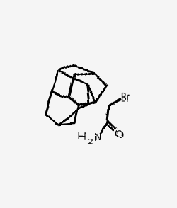 C1C2CC3C4CC5CC(C14)C(C2)C3C5.NC(=O)CBr